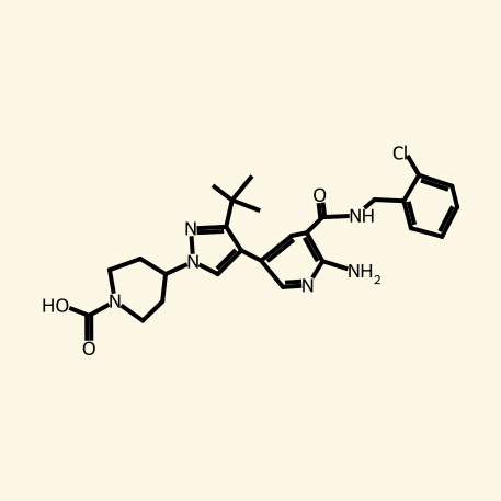 CC(C)(C)c1nn(C2CCN(C(=O)O)CC2)cc1-c1cnc(N)c(C(=O)NCc2ccccc2Cl)c1